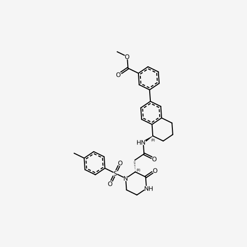 COC(=O)c1cccc(-c2ccc3c(c2)CCC[C@H]3NC(=O)C[C@@H]2C(=O)NCCN2S(=O)(=O)c2ccc(C)cc2)c1